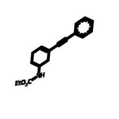 CCOC(=O)NC1CCC=C(C#Cc2ccccc2)C1